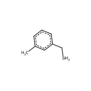 Cc1cccc(C[SiH3])c1